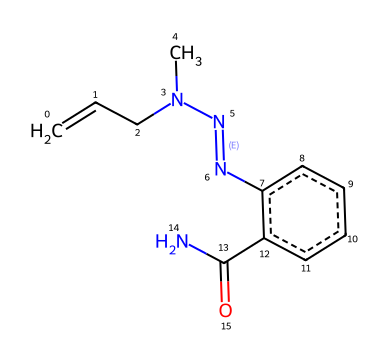 C=CCN(C)/N=N/c1ccccc1C(N)=O